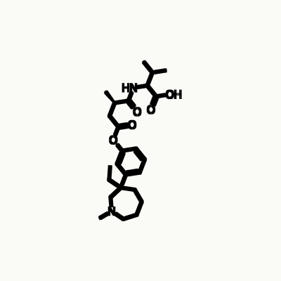 CCC1(c2cccc(OC(=O)C[C@@H](C)C(=O)NC(C(=O)O)C(C)C)c2)CCCCN(C)C1